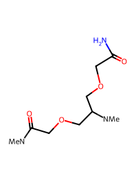 CNC(=O)COCC(COCC(N)=O)NC